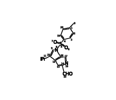 Cc1ccc(S(=O)(=O)n2cc(C(C)C)c3cc(C=O)ncc32)cc1